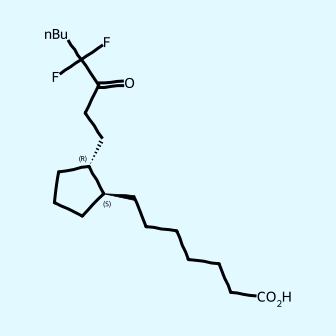 CCCCC(F)(F)C(=O)CC[C@H]1CCC[C@@H]1CCCCCCC(=O)O